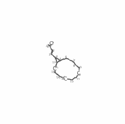 O=NCCC1C2CCCCCCCCCCCC21